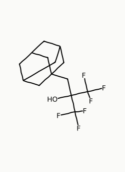 OC(CC12CC3CC(CC(C3)C1)C2)(C(F)(F)F)C(F)(F)F